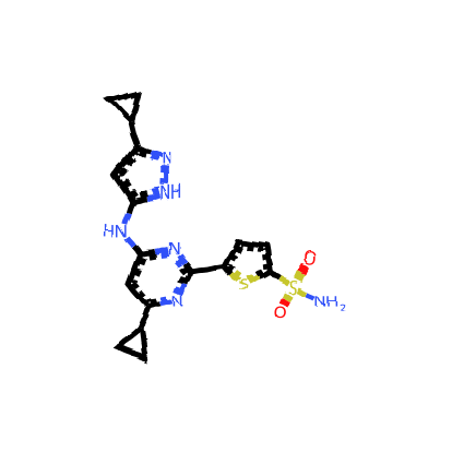 NS(=O)(=O)c1ccc(-c2nc(Nc3cc(C4CC4)n[nH]3)cc(C3CC3)n2)s1